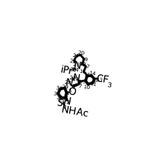 CC(=O)Nc1nc2c(Oc3cc(-c4ccc(C(F)(F)F)cc4CCC4CCCCN4CC(C)C)ncn3)cccc2s1